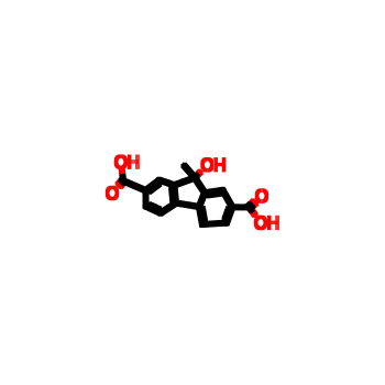 CC1(O)c2cc(C(=O)O)ccc2-c2ccc(C(=O)O)cc21